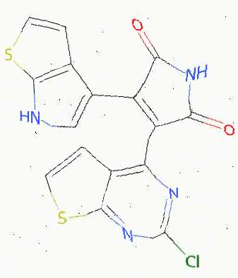 O=C1NC(=O)C(c2c[nH]c3sccc23)=C1c1nc(Cl)nc2sccc12